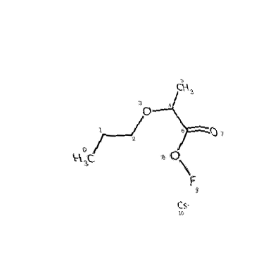 CCCOC(C)C(=O)OF.[Cs]